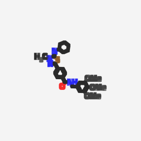 COc1cc(CNC(=O)c2ccc(-c3nn(C)c(=NC4CCCCC4)s3)cc2)cc(OC)c1OC